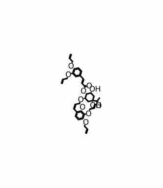 C=CCOc1ccc(/C=C\C(=O)O[C@@H]2C[C@](O)(C(C)=O)C[C@@H](O)[C@H]2OC(=O)/C=C/c2ccc(OCC=C)c(OCC=C)c2)cc1OCC=C